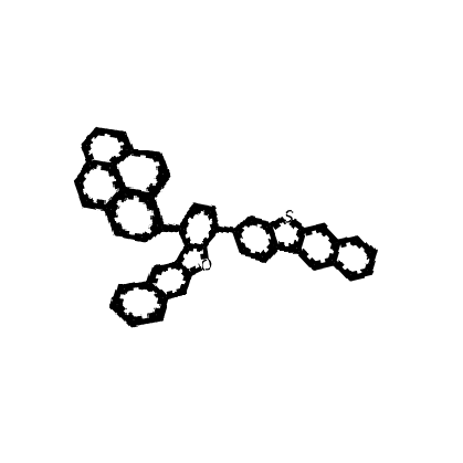 c1ccc2cc3c(cc2c1)oc1c(-c2ccc4c(c2)sc2cc5ccccc5cc24)ccc(-c2ccc4ccc5cccc6ccc2c4c56)c13